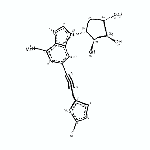 CNc1nc(C#Cc2ccc(Cl)s2)nc2c1ncn2[C@@H]1C[C@H](C(=O)O)[C@@H](O)[C@H]1O